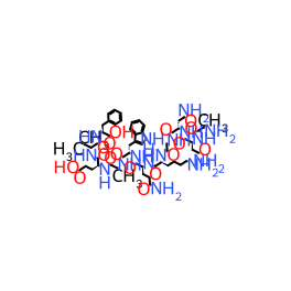 CC(C)[C@H](NC(=O)[C@H](CCC(=O)O)NC(=O)[C@H](C)NC(=O)[C@H](Cc1c[nH]c2ccccc12)NC(=O)[C@H](CCC(N)=O)NC(=O)[C@H](CCCCN)NC(=O)CNC(=O)[C@H](CC(N)=O)NC(=O)[C@H](CC(N)=O)NC(=O)[C@H](C)N)C(=O)N[C@@H](Cc1ccccc1)C(=O)O